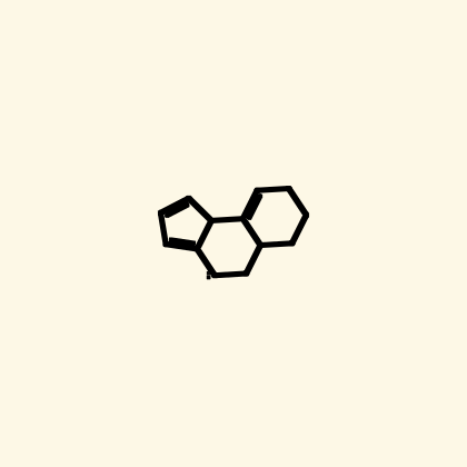 [C]1CC2CCCC=C2C2C=CC=C12